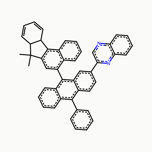 CC1(C)c2cc(-c3c4ccccc4c(-c4ccccc4)c4ccc(-c5cnc6ccccc6n5)cc34)c3ccccc3c2C2C=CC=CC21